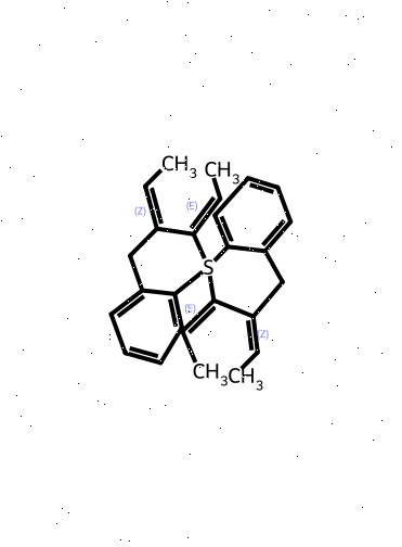 C/C=C1/Cc2ccccc2S2(/C1=C/C)C(=C/C)/C(=C\C)Cc1ccccc12